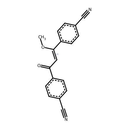 CO/C(=C\C(=O)c1ccc(C#N)cc1)c1ccc(C#N)cc1